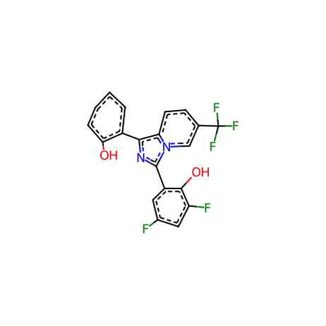 Oc1ccccc1-c1nc(-c2cc(F)cc(F)c2O)n2cc(C(F)(F)F)ccc12